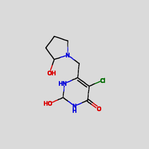 O=C1NC(O)NC(CN2CCCC2O)=C1Cl